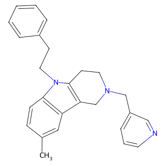 Cc1ccc2c(c1)c1c(n2CCc2ccccc2)CCN(Cc2cccnc2)C1